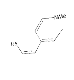 C/C=C(/C=C\S)\C=C/NC